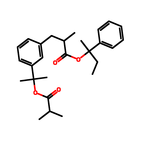 CCC(C)(OC(=O)C(C)Cc1cccc(C(C)(C)OC(=O)C(C)C)c1)c1ccccc1